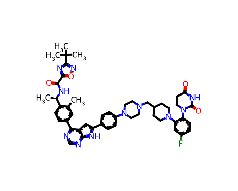 Cc1cc(-c2ncnc3[nH]c(-c4ccc(N5CCN(CC6CCN(c7cc(F)ccc7N7CCC(=O)NC7=O)CC6)CC5)cc4)cc23)ccc1[C@@H](C)NC(=O)c1nc(C(C)(C)C)no1